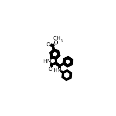 COC(=O)c1ccc2c(c1)NC(=O)/C2=C(\NC1CCCCC1)c1ccccc1